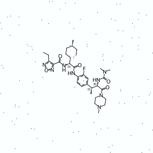 CCc1nonc1C(=O)N[C@H](C(=O)Nc1ccc([C@H](C)[C@@H](NC(=O)N(C)C)C(=O)N2CCN(C)CC2)cc1F)[C@H]1CC[C@H](C)CC1